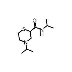 CC(C)NC(=O)[C@H]1CN(C(C)C)CCS1